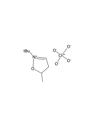 CC1CC=[N+](C(C)(C)C)O1.[O-][Cl+3]([O-])([O-])[O-]